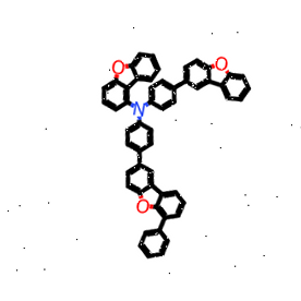 c1ccc(-c2cccc3c2oc2ccc(-c4ccc(N(c5ccc(-c6ccc7oc8ccccc8c7c6)cc5)c5cccc6oc7ccccc7c56)cc4)cc23)cc1